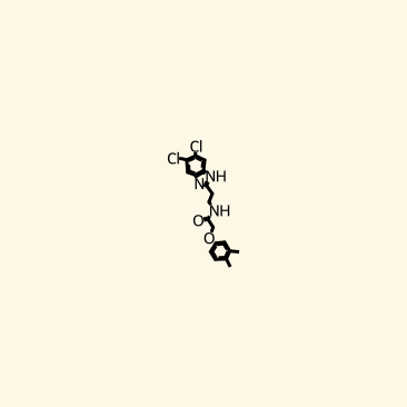 Cc1ccc(OCC(=O)NCCc2nc3cc(Cl)c(Cl)cc3[nH]2)cc1C